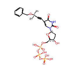 CC(C)[Si](C#Cc1cn([C@H]2C[C@@H](O)[C@@H](COP(=O)(O)OP(=O)(O)OP(=O)(O)O)O2)c(=O)[nH]c1=O)(OCc1ccccc1)C(C)C